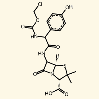 CC1(C)S[C@@H]2C(NC(=O)C(NC(=O)OCCl)c3ccc(O)cc3)C(=O)N2[C@H]1C(=O)O